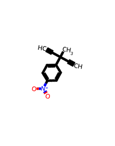 C#CC(C)(C#C)c1ccc([N+](=O)[O-])cc1